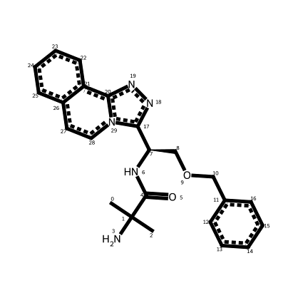 CC(C)(N)C(=O)N[C@H](COCc1ccccc1)c1nnc2c3ccccc3ccn12